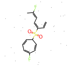 C=C/C(=C\C=C(/C)F)S(=O)(=O)C1C=CC=C(F)C=C1